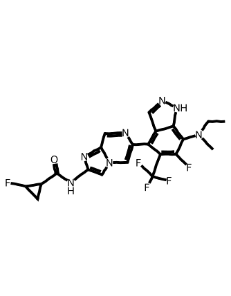 CCN(C)c1c(F)c(C(F)(F)F)c(-c2cn3cc(NC(=O)C4CC4F)nc3cn2)c2cn[nH]c12